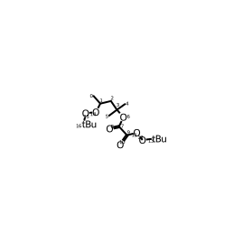 CC(CC(C)(C)OC(=O)C(=O)OOC(C)(C)C)OOC(C)(C)C